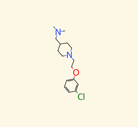 CN(C)CC1CCN(CCOc2cccc(Cl)c2)CC1